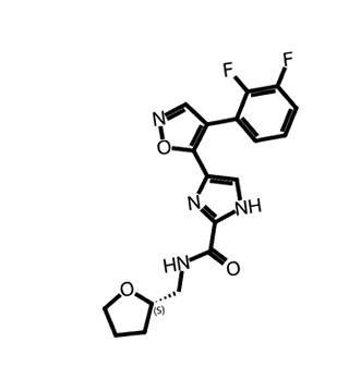 O=C(NC[C@@H]1CCCO1)c1nc(-c2oncc2-c2cccc(F)c2F)c[nH]1